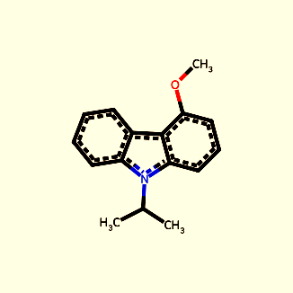 COc1cccc2c1c1ccccc1n2C(C)C